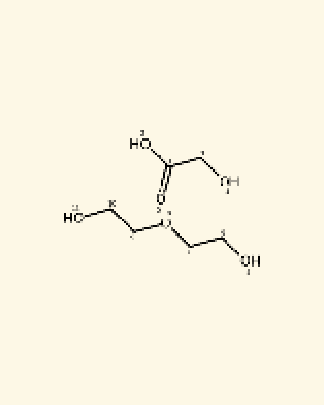 O=C(O)CO.OCCOCCO